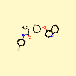 CC(C(=O)Nc1ccc(Cl)cc1)[C@H]1CC[C@H](Oc2ccnc3ccccc23)CC1